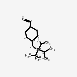 CC(C)[Si](OC1CCC(C=O)CC1)(C(C)C)C(C)C